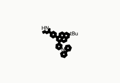 C=C/C=C(\C=N)c1ccc(-c2cc(-c3cccc(-n4c5ccccc5c5ccccc54)c3)c3ccc4cc(C(C)(C)C)cc5ccc2c3c54)cc1